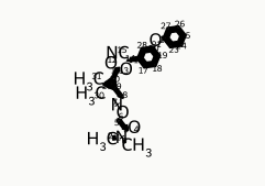 CN(C)C(=O)CON=CC1C(C(=O)OC(C#N)c2cccc(Oc3ccccc3)c2)C1(C)C